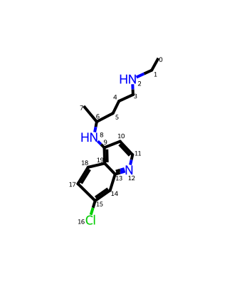 CCNCCCC(C)Nc1ccnc2cc(Cl)ccc12